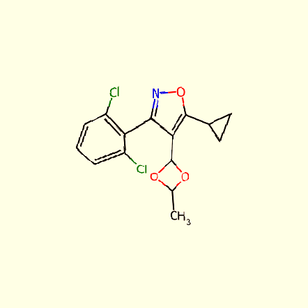 CC1OC(c2c(-c3c(Cl)cccc3Cl)noc2C2CC2)O1